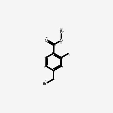 Cc1cc(CBr)ccc1C(=O)OBr